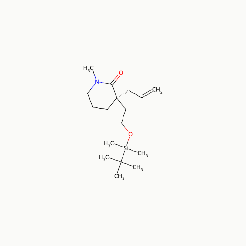 C=CC[C@]1(CCO[Si](C)(C)C(C)(C)C)CCCN(C)C1=O